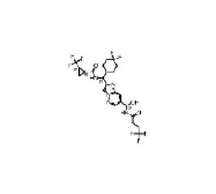 O=C(CCC(F)(F)F)N[C@H](O)c1cnn2cc([C@@H](NC(=O)[C@@H]3C[C@H]3C(F)(F)F)C3CCC(F)(F)CC3)nc2c1